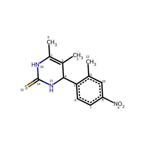 CC1=C(C)C(c2ccc([N+](=O)[O-])cc2C)NC(=S)N1